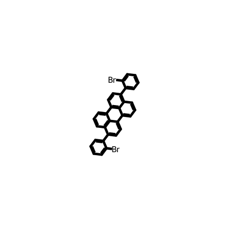 Brc1ccccc1-c1ccc2c3cccc4c(-c5ccccc5Br)ccc(c5cccc1c52)c43